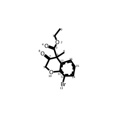 CCOC(=O)C1(C)C(=O)COc2c(Br)cccc21